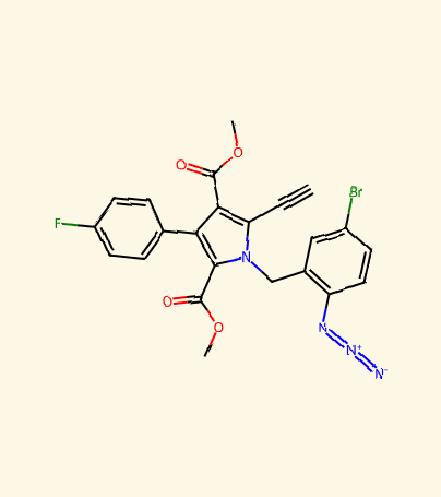 C#Cc1c(C(=O)OC)c(-c2ccc(F)cc2)c(C(=O)OC)n1Cc1cc(Br)ccc1N=[N+]=[N-]